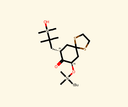 CC(C)(C[C@@H]1CC2(C[C@@H](O[Si](C)(C)C(C)(C)C)C1=O)SCCS2)[Si](C)(C)O